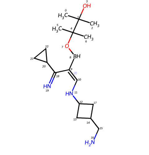 CC(C)(O)C(C)(C)OB/C(=C/NC1CC(CN)C1)C(=N)C1CC1